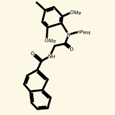 CCCCCN(C(=O)CNC(=O)c1ccc2ccccc2c1)c1c(OC)cc(C)cc1OC